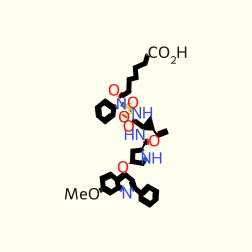 C=C[C@@H]1C[C@]1(NC(=O)[C@@H]1C[C@@H](Oc2cc(-c3ccccc3)nc3cc(OC)ccc23)CN1)C(=O)NS(=O)(=O)N(C(=O)CCCCCCC(=O)O)c1ccccc1